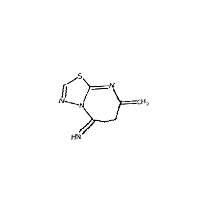 C=C1CC(=N)N2N=CSC2=N1